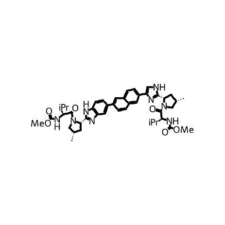 COC(=O)N[C@H](C(=O)N1C[C@@H](C)C[C@H]1c1nc(-c2ccc3cc(-c4ccc5[nH]c([C@@H]6C[C@H](C)CN6C(=O)[C@@H](NC(=O)OC)C(C)C)nc5c4)ccc3c2)c[nH]1)C(C)C